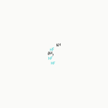 B.F.F.F.[KH]